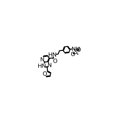 CS(=O)(=O)Nc1ccc(CCNC(=O)c2ccnc3[nH]c(-c4ccco4)nc23)cc1